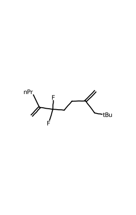 C=C(CCC(F)(F)C(=C)CCC)CC(C)(C)C